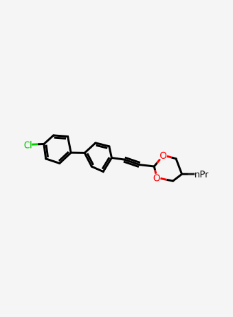 CCCC1COC(C#Cc2ccc(-c3ccc(Cl)cc3)cc2)OC1